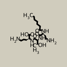 CCCCCCC(=O)N[C@@H](CCN)C(=O)N[C@H](C(=O)N[C@@H](CCCN)C(=O)O)[C@@H](C)O